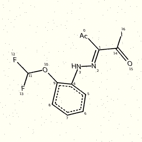 CC(=O)/C(=N\Nc1ccccc1OC(F)F)C(=O)I